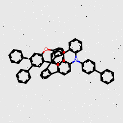 c1ccc(-c2ccc(N(c3ccc4c(c3)C3(c5ccccc5Oc5cc(-c6ccccc6)c(-c6ccccc6)cc53)c3ccccc3-4)c3ccccc3-c3ccccc3)cc2)cc1